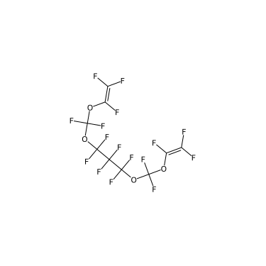 FC(F)=C(F)OC(F)(F)OC(F)(F)C(F)(F)C(F)(F)OC(F)(F)OC(F)=C(F)F